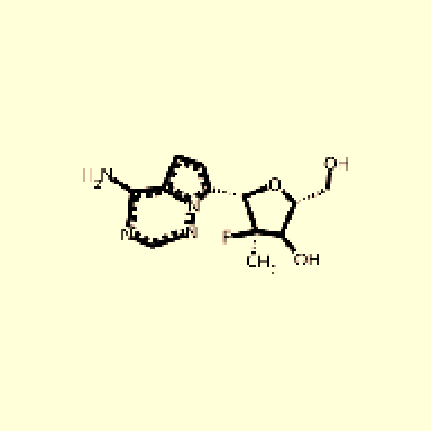 C[C@@]1(F)C(O)[C@@H](CO)O[C@H]1c1ccc2c(N)ncnn12